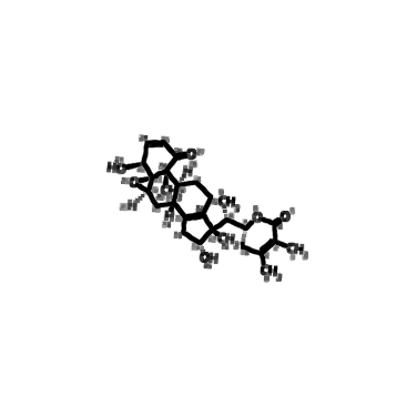 CC1=C(C)C(=O)O[C@@H]([C@@H](C)[C@@]2(C)C3=C(C[C@H]2O)[C@@H]2C[C@H]4O[C@]45[C@@H](O)C=CC(=O)[C@]5(C)[C@H]2CC3)C1